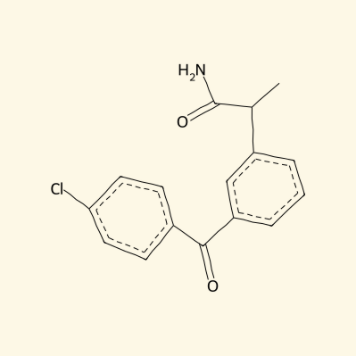 CC(C(N)=O)c1cccc(C(=O)c2ccc(Cl)cc2)c1